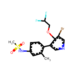 Cc1cc(NS(C)(=O)=O)ccc1-c1cncc(Br)c1OCC(F)F